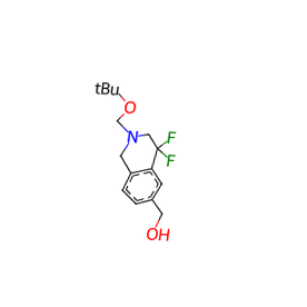 CC(C)(C)OCN1Cc2ccc(CO)cc2C(F)(F)C1